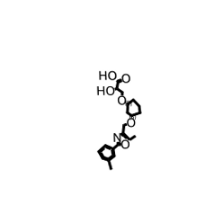 Cc1cccc(-c2nc(CO[C@H]3CCC[C@@H](OCC(O)C(=O)O)C3)c(C)o2)c1